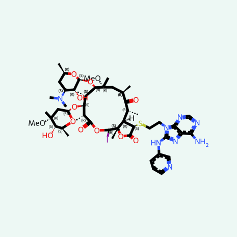 CO[C@]1(C)C[C@@H](C)C(=O)[C@H](C)[C@H]2[C@H](SCCn3c(Nc4cccnc4)nc4c(N)ncnc43)C(=O)O[C@]2(C)[C@@H](I)OC(=O)[C@H](C)[C@@H](O[C@H]2C[C@@](C)(OC)[C@@H](O)[C@H](C)O2)[C@H](C)[C@H]1O[C@@H]1O[C@H](C)C[C@H](N(C)C)[C@H]1O